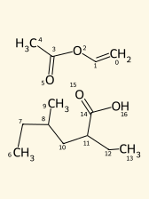 C=COC(C)=O.CCC(C)CC(CC)C(=O)O